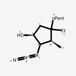 CCCCCC1(CC)C[C@H](O)C(N=[N+]=[N-])[C@@H]1C